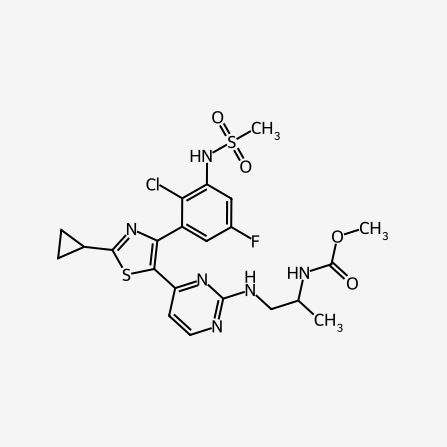 COC(=O)NC(C)CNc1nccc(-c2sc(C3CC3)nc2-c2cc(F)cc(NS(C)(=O)=O)c2Cl)n1